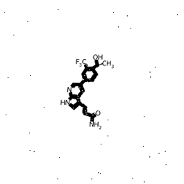 C[C@@H](O)c1ccc(-c2cnc3[nH]cc(/C=C/C(N)=O)c3c2)cc1C(F)(F)F